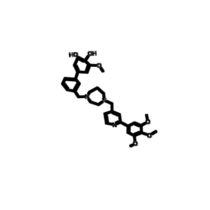 COc1cc(-c2cccc(CN3CCCN(Cc4ccnc(-c5cc(OC)c(OC)c(OC)c5)c4)CC3)c2)cc(O)c1O